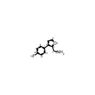 NCc1occc1-c1ccc(F)cc1